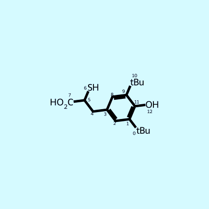 CC(C)(C)c1cc(CC(S)C(=O)O)cc(C(C)(C)C)c1O